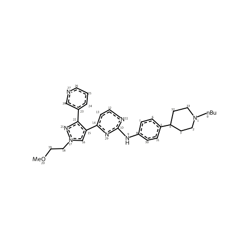 CCCCN1CCC(c2ccc(Nc3nccc(-c4cn(CCOC)nc4-c4cccnc4)n3)cc2)CC1